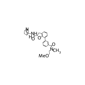 COCCN(C)C(=O)c1cccc(-c2cccc3c2OC(C(=O)N[C@@H]2CN4CCC2CC4)C3)c1